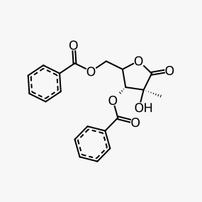 C[C@@]1(O)C(=O)OC(COC(=O)c2ccccc2)[C@H]1OC(=O)c1ccccc1